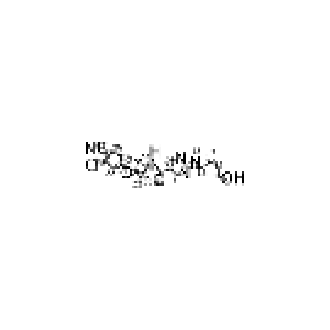 CC1(C)C(NC(=O)c2cnc(N3CCC(CCO)C3)nc2)C(C)(C)C1Oc1ccc(C#N)c(Cl)c1